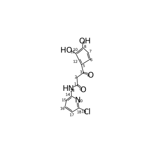 O=C(CC(=O)c1ccc(O)c(O)c1)Nc1cccc(Cl)n1